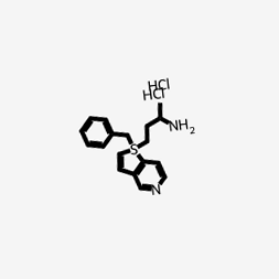 CC(N)CCS1(Cc2ccccc2)C=Cc2cnccc21.Cl.Cl